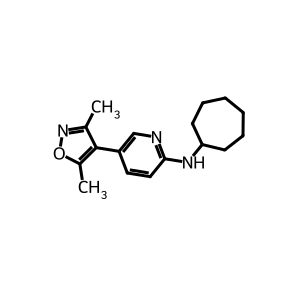 Cc1noc(C)c1-c1ccc(NC2CCCCCC2)nc1